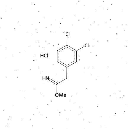 COC(=N)Cc1ccc(Cl)c(Cl)c1.Cl